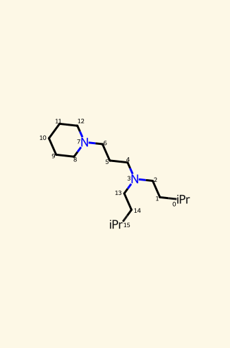 CC(C)CCN(CCCN1CCCCC1)CCC(C)C